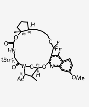 COc1ccc2c(F)c3c(nc2c1)O[C@H]1CN(C(=O)[C@H](C(C)(C)C)NC(=O)O[C@]2(C)CCC[C@H]2CCCCC3(F)F)[C@H](C(C)=O)C1C